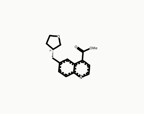 COC(=O)c1ccnc2ccc(C[C@@H]3CCOC3)cc12